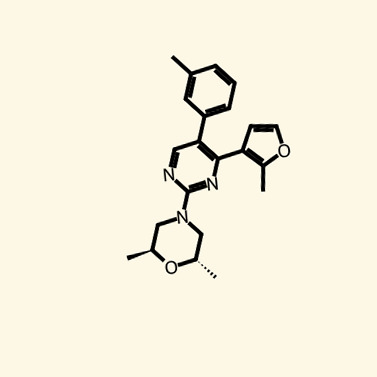 Cc1cccc(-c2cnc(N3C[C@H](C)O[C@@H](C)C3)nc2-c2ccoc2C)c1